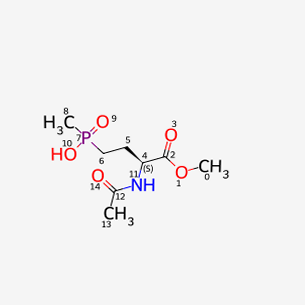 COC(=O)[C@H](CCP(C)(=O)O)NC(C)=O